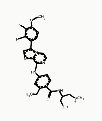 CCc1cc(Nc2nccn3c(-c4ccc(OC)c(F)c4F)cnc23)ccc1C(=O)NC(CO)CNC